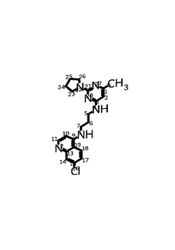 Cc1cc(NCCCNc2ccnc3cc(Cl)ccc23)nc(N2CCCC2)n1